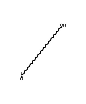 O=C=NCCCCCCCCCCCCCCCCCCCCCCCCCCCCCO